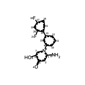 Nc1cc(=O)c(O)cn1-c1cccc(-c2ccc(F)cc2F)c1